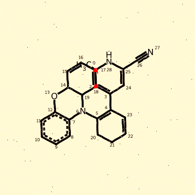 CC1C=C(C2=C(N3c4ccccc4OC4C=CC=CC43)CCC=C2)C=C(C#N)N1